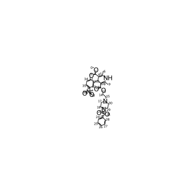 COC(=O)C1=C(C)NC(C)=C(C(=O)OCCN2CCN(S(=O)(=O)c3ccccc3)CC2)C1c1cccc([N+](=O)[O-])c1